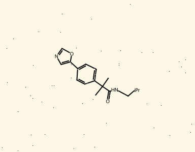 CC(C)CNC(=O)C(C)(C)c1ccc(-c2cnco2)cc1